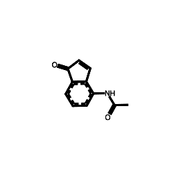 CC(=O)Nc1cccc2c1C=CC2=O